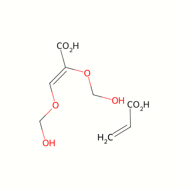 C=CC(=O)O.O=C(O)C(=COCO)OCO